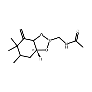 C=C1C2OB(CNC(C)=O)O[C@@H]2CC(C)C1(C)C